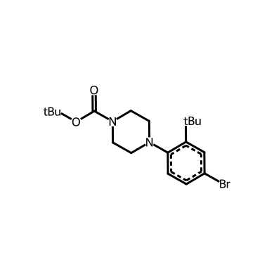 CC(C)(C)OC(=O)N1CCN(c2ccc(Br)cc2C(C)(C)C)CC1